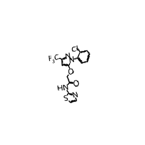 O=C(COc1cc(C(F)(F)F)nn1-c1ccccc1Cl)Nc1nccs1